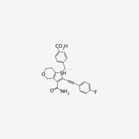 C[C@@H](c1ccc(C(=O)O)cc1)[SH]1C(C#Cc2ccc(F)cc2)=C(C(N)=O)C2=C1CCOC2